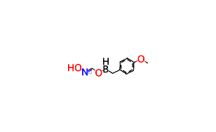 COc1ccc(CBO/C=N/O)cc1